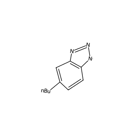 CCCCc1ccc2c(c1)N=N[N]2